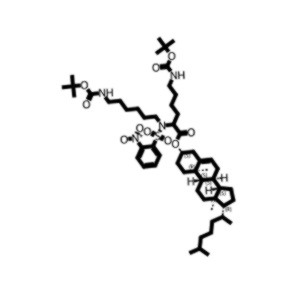 CC(C)CCCC(C)[C@H]1CC[C@H]2[C@@H]3CC=C4C[C@@H](OC(=O)C(CCCCNC(=O)OC(C)(C)C)N(CCCCCCNC(=O)OC(C)(C)C)S(=O)(=O)c5ccccc5[N+](=O)[O-])CC[C@]4(C)[C@H]3CC[C@]12C